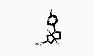 O=C(O)N1C[C@H]2CCN(c3ccc(Cl)nc3)[C@H]2C1